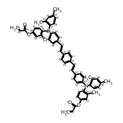 C=CC(=O)Oc1ccc(N(c2ccc(/C=C/c3ccc(/C=C/c4ccc(N(c5ccc(C)cc5C)c5ccc(OC(=O)C=C)cc5C)cc4)cc3)cc2)c2ccc(C)cc2C)c(C)c1